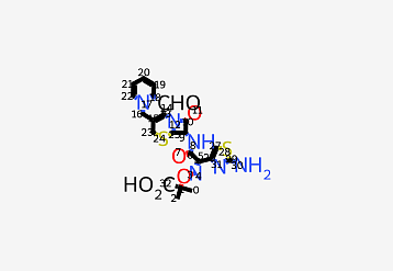 CC(C)(O/N=C(\C(=O)NC1C(=O)N2C(C=O)=C(C[n+]3ccccc3)CSC12)c1csc(N)n1)C(=O)O